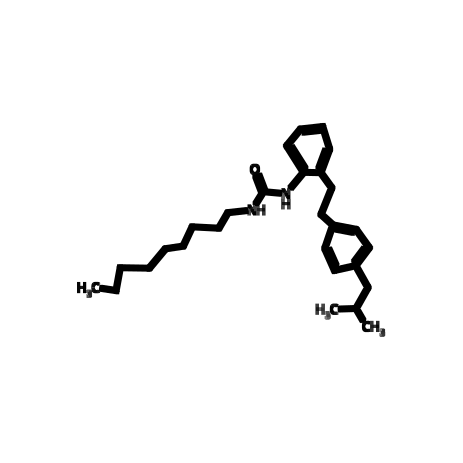 CCCCCCCCCNC(=O)Nc1ccccc1CCc1ccc(CC(C)C)cc1